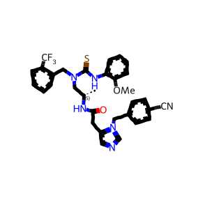 COc1ccccc1NC(=S)N(Cc1ccccc1C(F)(F)F)C[C@H](C)NC(=O)Cc1cncn1Cc1ccc(C#N)cc1